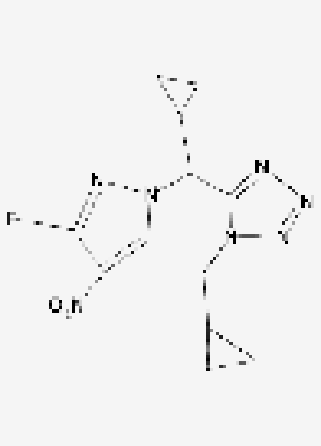 O=[N+]([O-])c1cn(C(c2nnnn2CC2CC2)C2CC2)nc1F